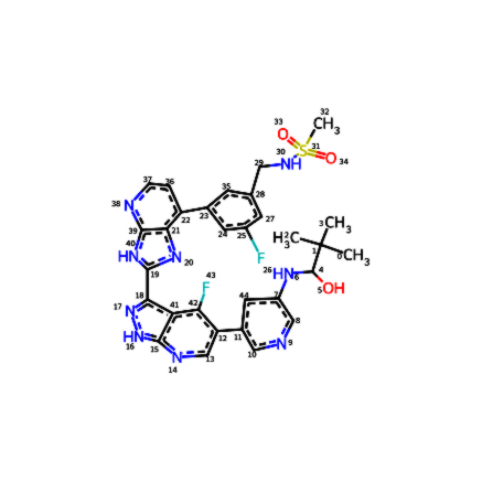 CC(C)(C)C(O)Nc1cncc(-c2cnc3[nH]nc(-c4nc5c(-c6cc(F)cc(CNS(C)(=O)=O)c6)ccnc5[nH]4)c3c2F)c1